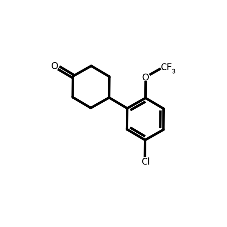 O=C1CCC(c2cc(Cl)ccc2OC(F)(F)F)CC1